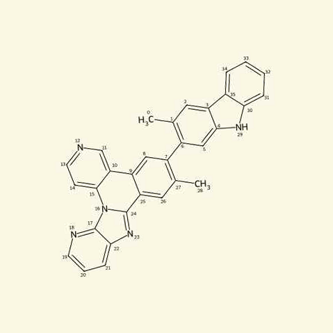 Cc1cc2c(cc1-c1cc3c4cnccc4n4c5ncccc5nc4c3cc1C)[nH]c1ccccc12